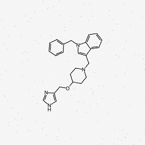 c1ccc(Cn2cc(CN3CCC(OCc4c[nH]cn4)CC3)c3ccccc32)cc1